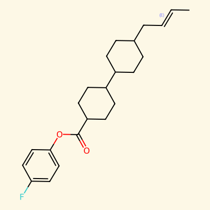 C/C=C/CC1CCC(C2CCC(C(=O)Oc3ccc(F)cc3)CC2)CC1